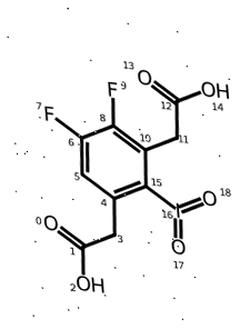 O=C(O)Cc1cc(F)c(F)c(CC(=O)O)c1I(=O)=O